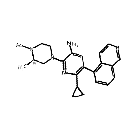 CC(=O)N1CCN(c2nc(C3CC3)c(-c3cccc4cnccc34)cc2N)C[C@H]1C